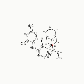 [C-]#[N+]c1ccc(Nc2ncnc(OC3C4COCC3CN(C(=O)OC(C)(C)C)C4)c2F)c(Cl)c1